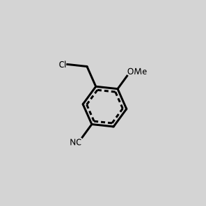 COc1ccc(C#N)cc1CCl